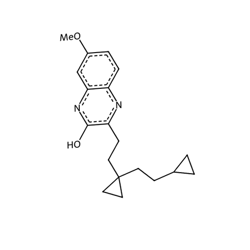 COc1ccc2nc(CCC3(CCC4CC4)CC3)c(O)nc2c1